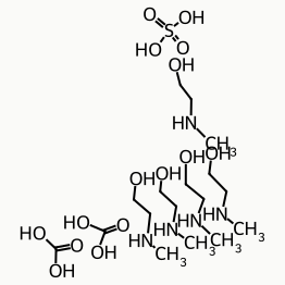 CNCCO.CNCCO.CNCCO.CNCCO.CNCCO.O=C(O)O.O=C(O)O.O=S(=O)(O)O